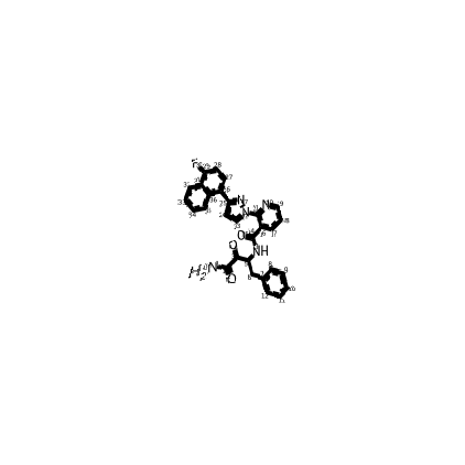 NC(=O)C(=O)C(Cc1ccccc1)NC(=O)c1cccnc1-n1ccc(-c2ccc(F)c3ccccc23)n1